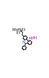 CCC(CC)(CCc1ccc2c(c1)nc(-c1ccccc1)c1ccccc12)NC.I.I